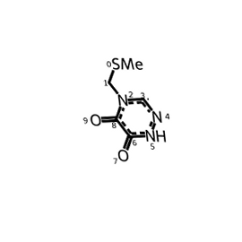 CSCn1[c]n[nH]c(=O)c1=O